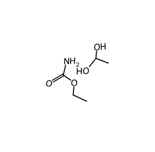 CC(O)O.CCOC(N)=O